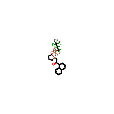 O=C(CS1(OS(=O)(=O)C(F)(F)C(F)(F)C(F)(F)C(F)(F)F)CCCC1)c1cccc2ccccc12